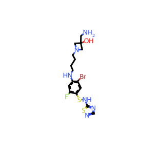 NCC1(O)CN(CCCCNc2cc(F)c(SNc3ncns3)cc2Br)C1